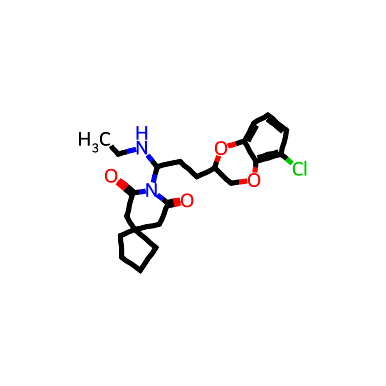 CCNC(CCC1COc2c(Cl)cccc2O1)N1C(=O)CC2(CCCC2)CC1=O